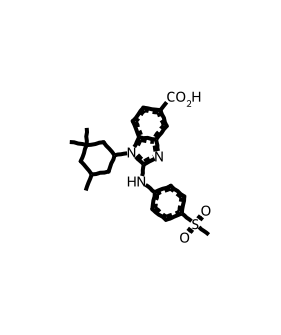 CC1CC(n2c(Nc3ccc(S(C)(=O)=O)cc3)nc3cc(C(=O)O)ccc32)CC(C)(C)C1